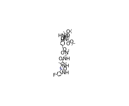 CCN(CCNC(=O)c1c(C)[nH]c(/C=C2\C(=O)Nc3ccc(F)cc32)c1C)C(=O)OCc1ccc(OP(=O)(NC(C)C(=O)OC(C)C)NC(C)C(=O)OC(C)C)cc1